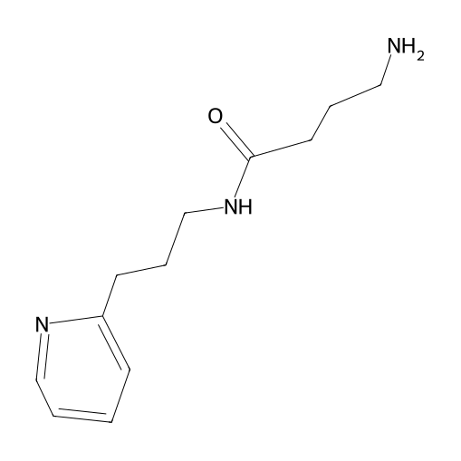 NCCCC(=O)NCCCc1ccccn1